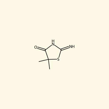 CC1(C)SC(=N)NC1=O